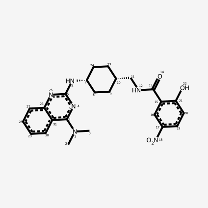 CN(C)c1nc(N[C@H]2CC[C@@H](CNC(=O)c3cc([N+](=O)[O-])ccc3O)CC2)nc2ccccc12